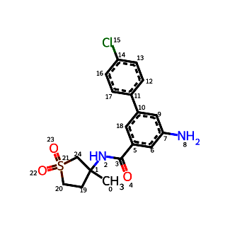 CC1(NC(=O)c2cc(N)cc(-c3ccc(Cl)cc3)c2)CCS(=O)(=O)C1